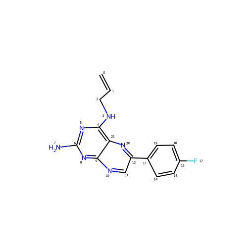 C=CCNc1nc(N)nc2ncc(-c3ccc(F)cc3)nc12